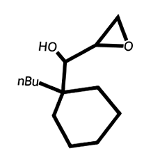 CCCCC1(C(O)C2CO2)CCCCC1